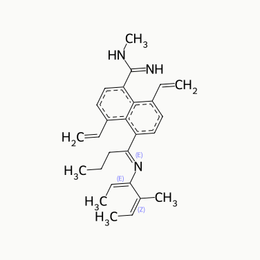 C=Cc1ccc(/C(CCC)=N/C(=C/C)C(/C)=C\C)c2c(C=C)ccc(C(=N)NC)c12